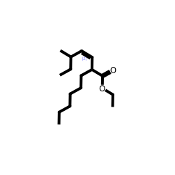 CCCCCCC(/C=C\C(C)CC)C(=O)OCC